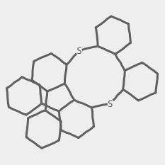 C1CCC(C2CCCC3SC4CCCCC4C4CCCCC4SC4CCCC(C5CCCCC5)C4C32)CC1